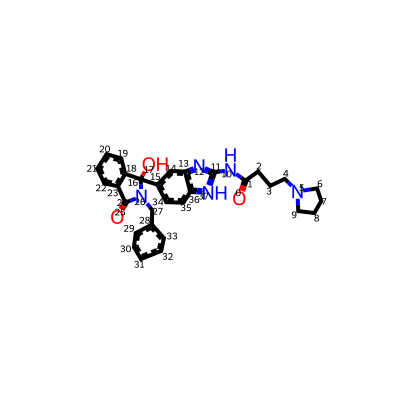 O=C(CCCN1CCCC1)Nc1nc2cc(C3(O)c4ccccc4C(=O)N3Cc3ccccc3)ccc2[nH]1